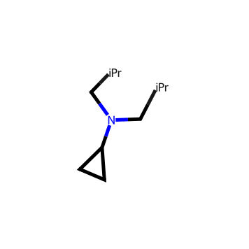 CC(C)CN(CC(C)C)C1CC1